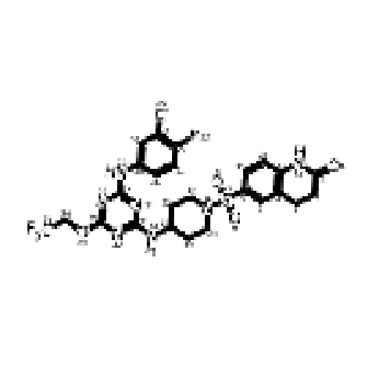 O=C1CCc2cc(S(=O)(=O)N3CCC(Nc4nc(Nc5ccc(F)c(Cl)c5)nc(OCC(F)(F)F)n4)CC3)ccc2N1